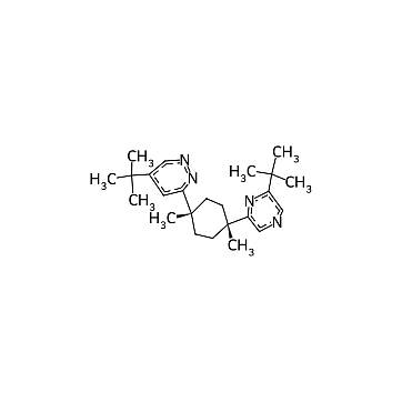 CC(C)(C)c1cnnc([C@]2(C)CC[C@](C)(c3cncc(C(C)(C)C)n3)CC2)c1